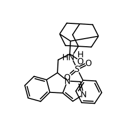 O=S(=O)(NC12CC3CC(C1)C(C(O)CC1c4ccccc4-c4cncn41)C(C3)C2)c1ccccc1